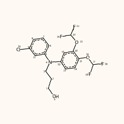 OCCCN(c1cccc(Cl)c1)c1ccc(OC(F)F)c(OC(F)F)c1